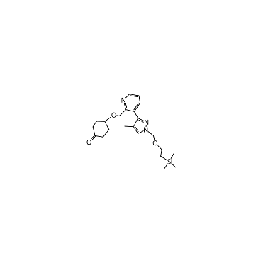 Cc1cn(COCC[Si](C)(C)C)nc1-c1cccnc1COC1CCC(=O)CC1